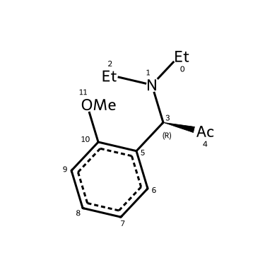 CCN(CC)[C@@H](C(C)=O)c1ccccc1OC